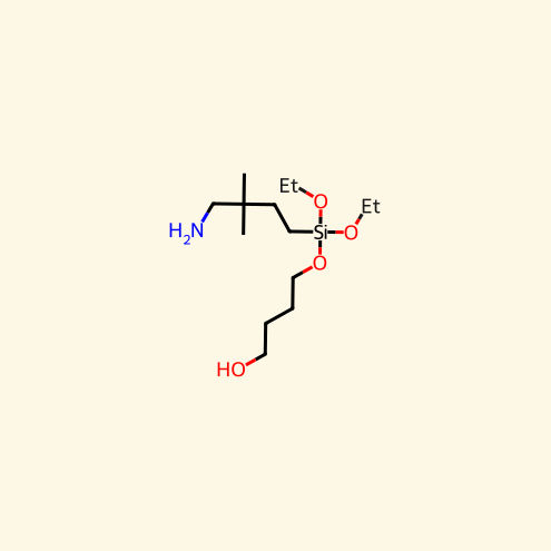 CCO[Si](CCC(C)(C)CN)(OCC)OCCCCO